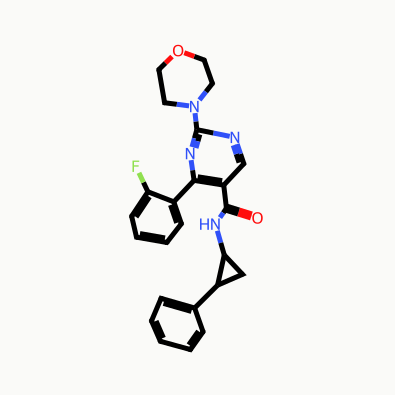 O=C(NC1CC1c1ccccc1)c1cnc(N2CCOCC2)nc1-c1ccccc1F